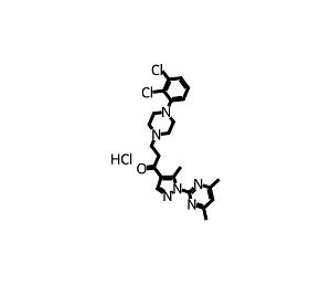 Cc1cc(C)nc(-n2ncc(C(=O)CCN3CCN(c4cccc(Cl)c4Cl)CC3)c2C)n1.Cl